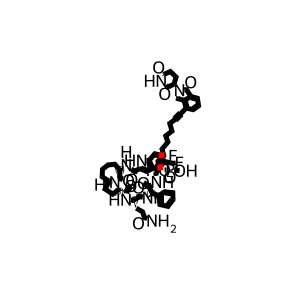 NC(=O)CC[C@H](NC(=O)[C@@H]1CC[C@@H]2CCCC[C@H](NC(=O)c3cc4cc(C(F)(F)P(=O)(O)O)ccc4[nH]3)C(=O)N21)C(=O)N[C@H](C(=O)NCCCCCCCCCC#Cc1cccc2c1CN(C1CCC(=O)NC1=O)C2=O)c1ccccc1